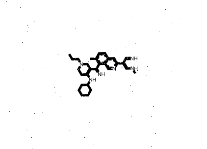 CCCN1CCC(NC2CCCCC2)=C(C(=N)c2c(C)ccc3cc(/C(C=N)=C/NC)ncc23)C1